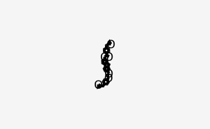 O=C(Oc1ccc2c(c1)Cc1cc(OCOC3CCC(CC4CO4)CC3)ccc1-2)C1CCC(CC2CO2)CC1